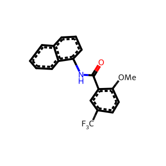 COc1ccc(C(F)(F)F)cc1C(=O)Nc1cccc2ccccc12